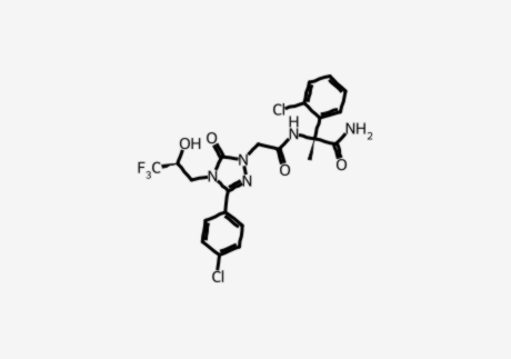 C[C@](NC(=O)Cn1nc(-c2ccc(Cl)cc2)n(C[C@H](O)C(F)(F)F)c1=O)(C(N)=O)c1ccccc1Cl